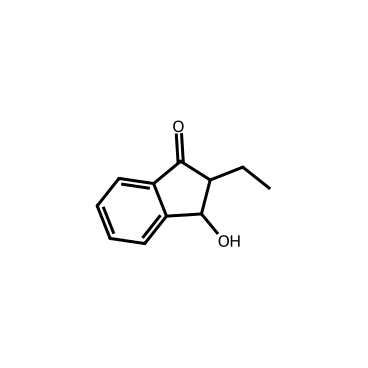 CCC1C(=O)c2ccccc2C1O